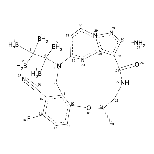 BC(B)(B)C(B)(B)N1Cc2c(ccc(F)c2C#N)O[C@@H](C)CNC(=O)c2c(N)nn3ccc1nc23